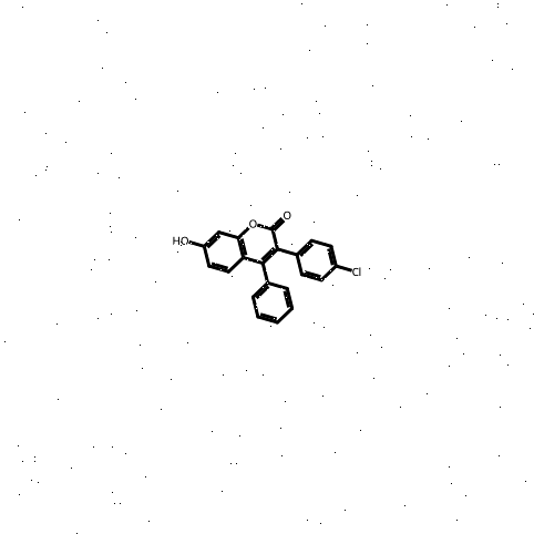 O=c1oc2cc(O)ccc2c(-c2ccccc2)c1-c1ccc(Cl)cc1